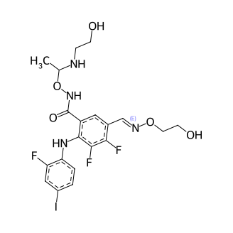 CC(NCCO)ONC(=O)c1cc(/C=N/OCCO)c(F)c(F)c1Nc1ccc(I)cc1F